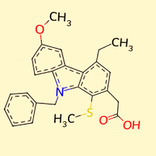 CCc1cc(CC(=O)O)c(SC)c2c1c1cc(OC)ccc1n2Cc1ccccc1